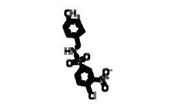 Cc1ccc(CNS(=O)(=O)c2ccc(Cl)c([N+](=O)[O-])c2)cc1